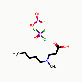 CCCCCN(C)CCC(=O)O.O=P(Cl)(Cl)Cl.OP(O)O